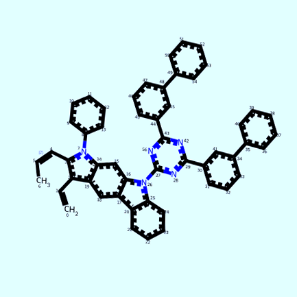 C=Cc1c(/C=C\C)n(-c2ccccc2)c2cc3c(cc12)c1ccccc1n3-c1nc(-c2cccc(-c3ccccc3)c2)nc(-c2cccc(-c3ccccc3)c2)n1